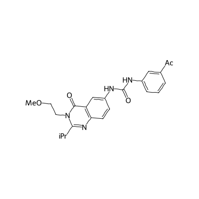 COCCn1c(C(C)C)nc2ccc(NC(=O)Nc3cccc(C(C)=O)c3)cc2c1=O